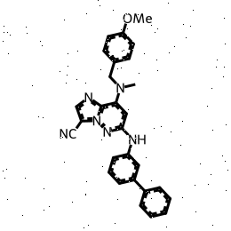 COc1ccc(CN(C)c2cc(Nc3cccc(-c4ccccc4)c3)nn3c(C#N)cnc23)cc1